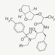 Cc1ccc(S(=O)(=O)N(CC(C)C)C[C@@H](O)[C@H](Cc2ccccc2)NC(=O)[C@H](C)O[C@H]2CO[C@H]3OCC[C@H]32)cc1